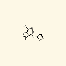 Oc1nnc(Cc2ccco2)c2[nH]ncc12